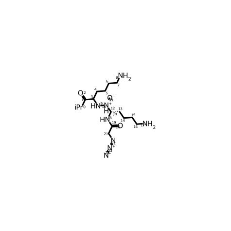 CC(C)C(=O)C(CCCCN)N[NH+]([O-])[C@H](CCCCN)NC(=O)CN=[N+]=[N-]